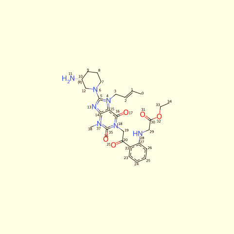 CC=CCn1c(N2CCC[C@@H](N)C2)nc2c1c(=O)n(CC(=O)c1ccccc1NCC(=O)OCC)c(=O)n2C